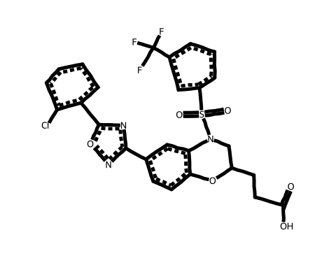 O=C(O)CCC1CN(S(=O)(=O)c2cccc(C(F)(F)F)c2)c2cc(-c3noc(-c4ccccc4Cl)n3)ccc2O1